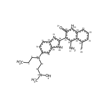 CCCN(CCN(C)O)c1ccc2nc(-c3c(N)c4c(F)cccc4[nH]c3=O)[nH]c2c1